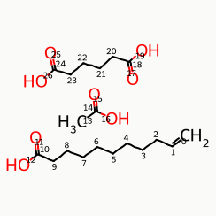 C=CCCCCCCCCC(=O)O.CC(=O)O.O=C(O)CCCCC(=O)O